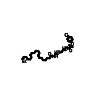 CC/C=C\C/C=C\C/C=C\C/C=C\C/C=C\C/C=C\CCC(=O)NCCNCCCNC(=O)C(C)(C)Oc1ccc(Cl)cc1